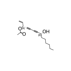 C=C[C@H](C#CC#C[C@H](O)CCCCCC)OC(C)=O